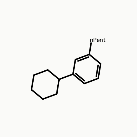 [CH2]CCCCc1cccc(C2CCCCC2)c1